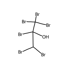 OC(Br)(C(Br)Br)C(Br)(Br)Br